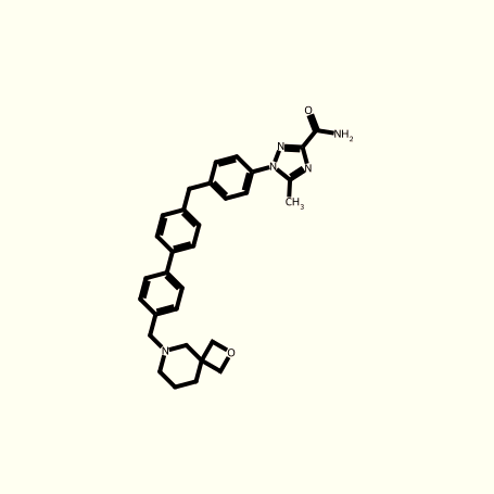 Cc1nc(C(N)=O)nn1-c1ccc(Cc2ccc(-c3ccc(CN4CCCC5(COC5)C4)cc3)cc2)cc1